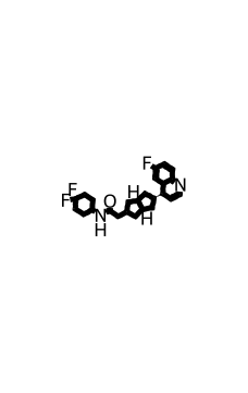 O=C(CC1C[C@@H]2C[C@H](C3C=CN=C4C=CC(F)=CC43)C[C@@H]2C1)NC1CCC(F)(F)CC1